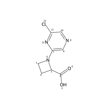 O=C(O)C1CCN1c1cncc(Cl)n1